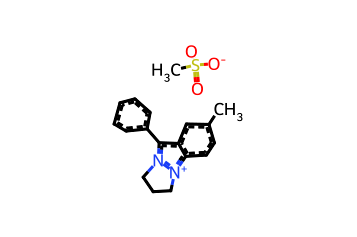 CS(=O)(=O)[O-].Cc1ccc2c(c1)c(-c1ccccc1)n1[n+]2CCC1